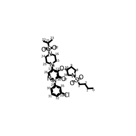 CCCCS(=O)(=O)N1CC[C@@H](Oc2c(N3CCN(S(=O)(=O)C(C)C)CC3)cnn(-c3cccc(Cl)c3)c2=O)C1